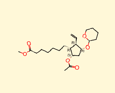 C=C[C@@H]1[C@@H](CCCCCCC(=O)OC)[C@@H](OC(C)=O)C[C@H]1OC1CCCCO1